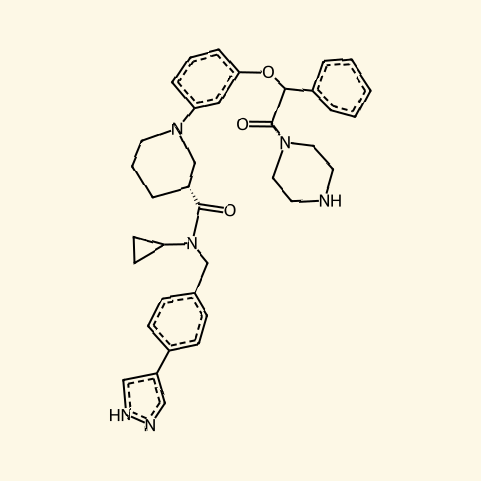 O=C(C(Oc1cccc(N2CCC[C@@H](C(=O)N(Cc3ccc(-c4cn[nH]c4)cc3)C3CC3)C2)c1)c1ccccc1)N1CCNCC1